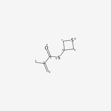 C=C(C)C(=O)SC1CSC1